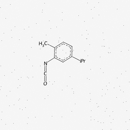 Cc1ccc(C(C)C)cc1N=C=O